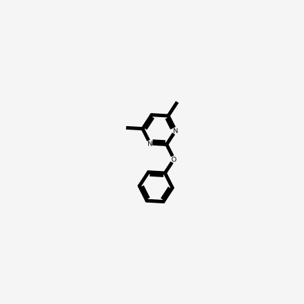 Cc1cc(C)nc(Oc2ccccc2)n1